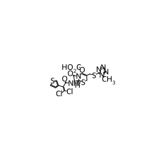 Cn1nnnc1SCC1=C(OC(=O)O)N2C(=O)C(NC(=O)C(=C(Cl)Cl)c3ccsc3)[C@@H]2SC1